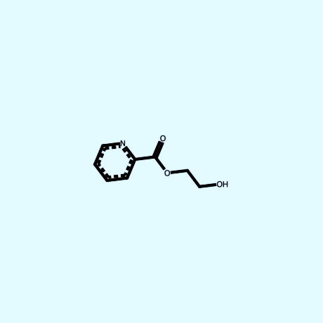 O=C(OCCO)c1ccccn1